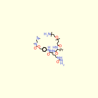 CC(C)C(NC(=O)CCC(C)(C)OCCC(C)(C)N)C(=O)N[C@@H](CCCNC(N)=O)C(=O)Nc1ccc(COC(=O)N(C)CCN(C)C)cc1